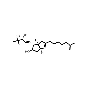 CCCCC(C)(C)[C@@H](O)/C=C/[C@@H]1[C@H]2CC(CCCCCN(C)C)=C[C@H]2C[C@H]1O